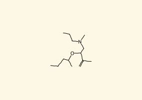 C=C(C)C(CN(C)CCC)OC(C)CCC